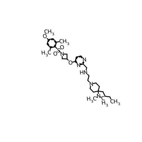 CCCCC1(N(C)C)CCN(CCNCc2nccc(OC3CN(S(=O)(=O)c4c(C)cc(OC)cc4C)C3)n2)CC1